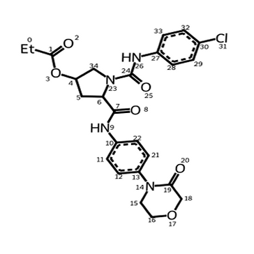 CCC(=O)OC1CC(C(=O)Nc2ccc(N3CCOCC3=O)cc2)N(C(=O)Nc2ccc(Cl)cc2)C1